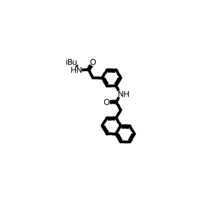 CCC(C)NC(=O)Cc1cccc(NC(=O)Cc2cccc3ccccc23)c1